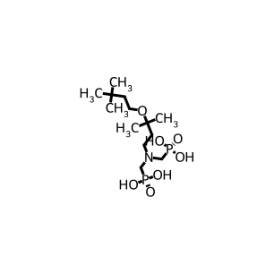 CC(C)(C)CCOC(C)(C)CCN(CP(=O)(O)O)CP(=O)(O)O